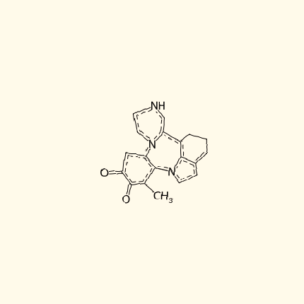 Cc1c(=O)c(=O)cc2c1n1ccc3c1c(c1c[nH]ccn12)CCC=3